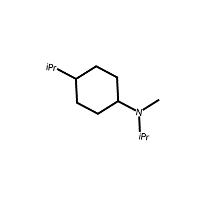 CC(C)C1CCC(N(C)C(C)C)CC1